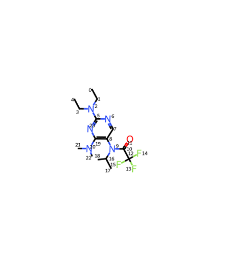 CCN(CC)c1ncc(N(C(=O)C(F)(F)F)C(C)C)c(N(C)C)n1